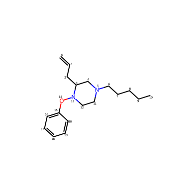 C=CCC1CN(CCCCC)CCN1Oc1ccccc1